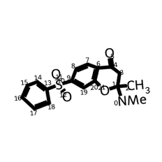 CNC1(C)CC(=O)c2ccc(S(=O)(=O)c3ccccc3)cc2O1